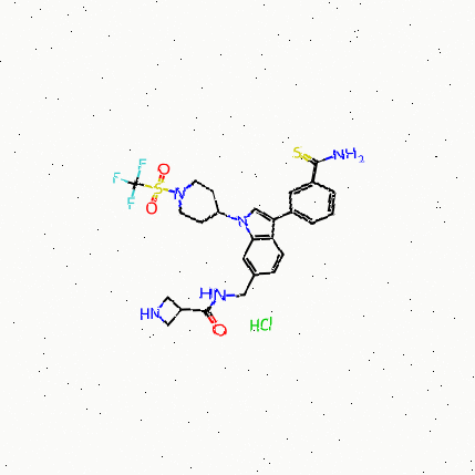 Cl.NC(=S)c1cccc(-c2cn(C3CCN(S(=O)(=O)C(F)(F)F)CC3)c3cc(CNC(=O)C4CNC4)ccc23)c1